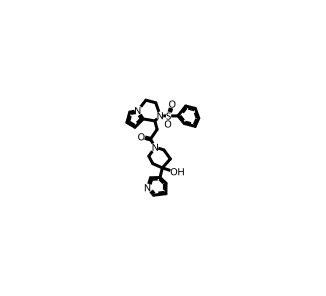 O=C(CC1c2cccn2CCN1S(=O)(=O)c1ccccc1)N1CCC(O)(c2cccnc2)CC1